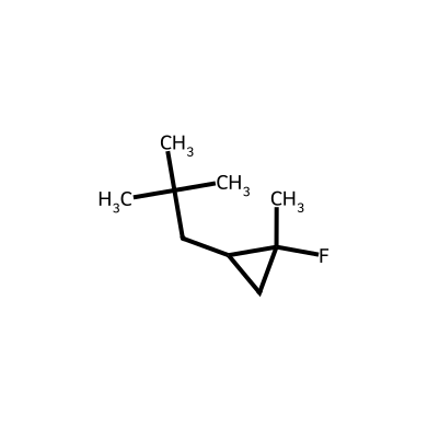 CC(C)(C)CC1CC1(C)F